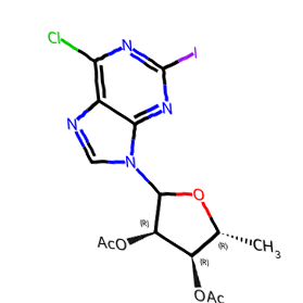 CC(=O)O[C@@H]1[C@@H](C)OC(n2cnc3c(Cl)nc(I)nc32)[C@@H]1OC(C)=O